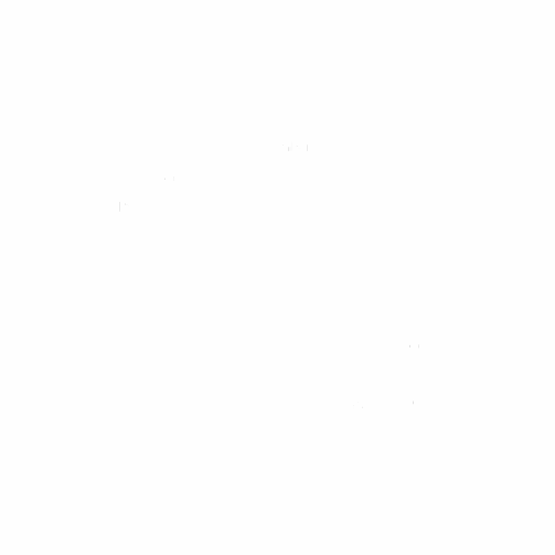 CCCCOc1cc(-c2ccc(S(C)(=O)=O)cc2)ccc1OC(C)C